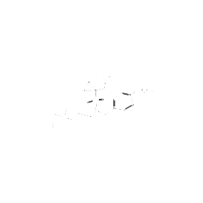 COc1ccc(CN(CCO[Si](C)(C)C(C)(C)C)S(=O)(=O)C2(CO)CC2)cc1